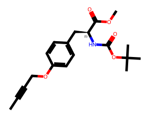 CC#CCOc1ccc(C[C@H](NC(=O)OC(C)(C)C)C(=O)OC)cc1